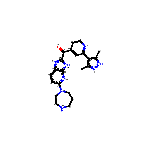 Cc1n[nH]c(C)c1C1=NCCC(C(=O)c2nc3ccc(N4CCCNCC4)nc3[nH]2)=C1